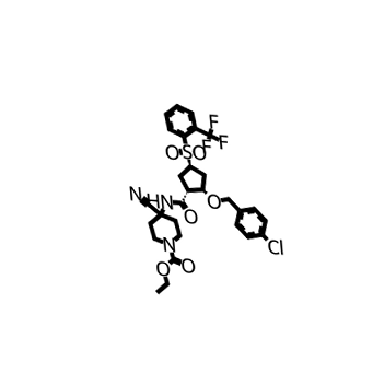 CCOC(=O)N1CCC(C#N)(NC(=O)[C@@H]2C[C@@H](S(=O)(=O)c3ccccc3C(F)(F)F)C[C@H]2OCc2ccc(Cl)cc2)CC1